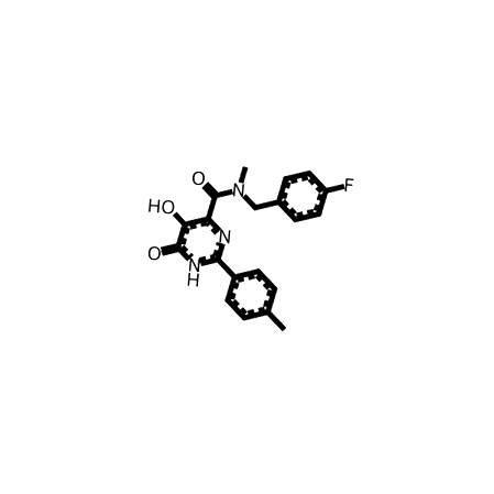 Cc1ccc(-c2nc(C(=O)N(C)Cc3ccc(F)cc3)c(O)c(=O)[nH]2)cc1